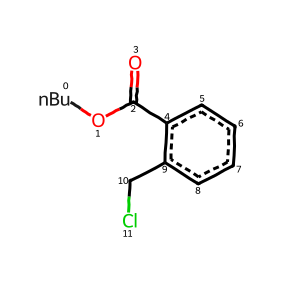 CCCCOC(=O)c1ccccc1CCl